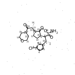 C[C@H](c1ccc(Cl)s1)C([C@H]1CCN([C@@H](C)C(=O)N2CCOCC2)C1=O)S(N)(=O)=O